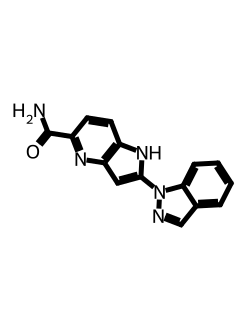 NC(=O)c1ccc2[nH]c(-n3ncc4ccccc43)cc2n1